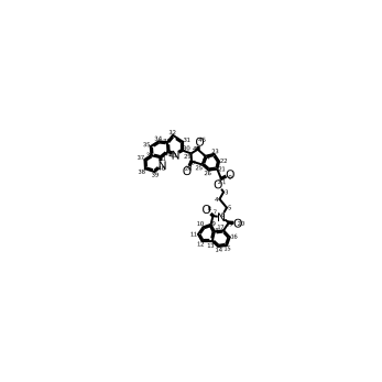 O=C(OCCCN1C(=O)c2cccc3cccc(c23)C1=O)c1ccc2c(c1)C(=O)C(c1ccc3ccc4cccnc4c3n1)C2=O